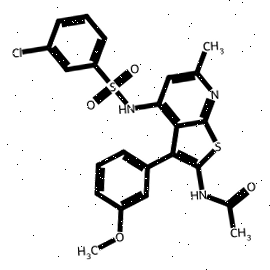 COc1cccc(-c2c(NC(C)=O)sc3nc(C)cc(NS(=O)(=O)c4cccc(Cl)c4)c23)c1